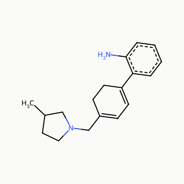 CC1CCN(CC2=CC=C(c3ccccc3N)CC2)C1